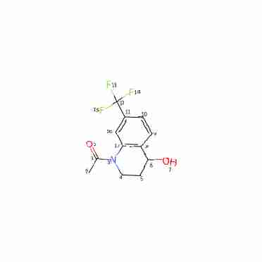 CC(=O)N1CCC(O)c2ccc(C(F)(F)F)cc21